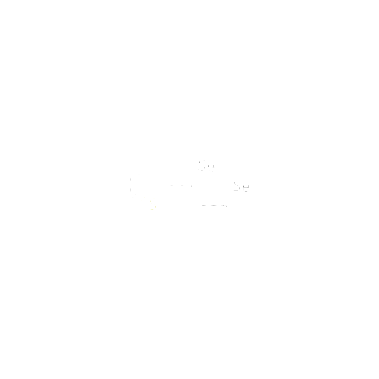 CC(=[Se])CC(=[Se])c1cccs1